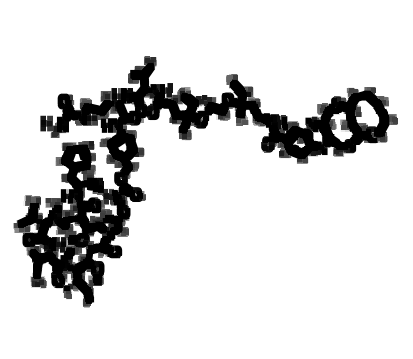 CC[C@H](C)[C@@H]([C@@H](CC(=O)N1C[C@H](ONC(=O)OCc2ccc(NC(=O)[C@H](CCCNC(N)=O)NC(=O)[C@@H](NC(=O)CCC(C)(CC)OCCOC(C)(CC)CCNC(=O)c3ccc4nc5c(nc4c3)CSC3CCCCCCC(C3)SC5)C(C)C)cc2)C[C@H]1[C@H](OC)[C@@H](C)C(=O)N[C@H](C#N)Cc1ccccc1)OC)N(C)C(=O)[C@@H](NC(=O)[C@H](C(C)C)N(C)C)C(C)C